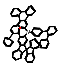 c1ccc(-c2ccccc2-c2ccc(N(c3ccc4c5ccccc5c5ccccc5c4c3)c3cc4c(cc3-c3ccccc3-c3ccccc3)-c3ccccc3C43c4ccccc4-c4ccccc43)cc2)cc1